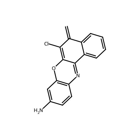 C=c1c(Cl)c2c(c3ccccc13)=Nc1ccc(N)cc1O2